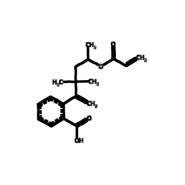 C=CC(=O)OC(C)CC(C)(C)C(=C)c1ccccc1C(=O)O